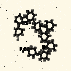 Cc1ccc(-c2cccc3c2sc2c(-c4ccc5c6ccc(-c7cccc8c7sc7c(-c9ccc(C(F)(F)F)cc9)cccc78)cc6c6ccccc6c5c4)cccc23)cc1